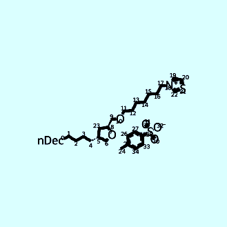 CCCCCCCCCCCCCC[C@H]1CO[C@H](COCCCCCCC[n+]2ccsc2)C1.Cc1ccc(S(=O)(=O)[O-])cc1